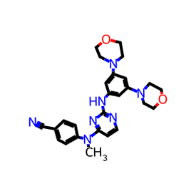 CN(c1ccc(C#N)cc1)c1ccnc(Nc2cc(N3CCOCC3)cc(N3CCOCC3)c2)n1